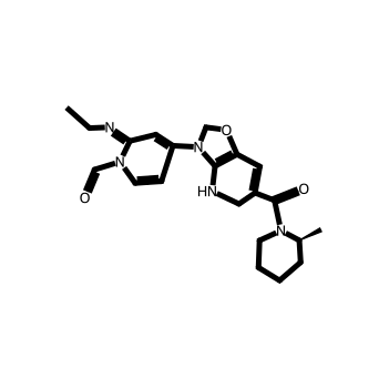 CC/N=c1/cc(N2COC3=C2NCC(C(=O)N2CCCC[C@@H]2C)=C3)ccn1C=O